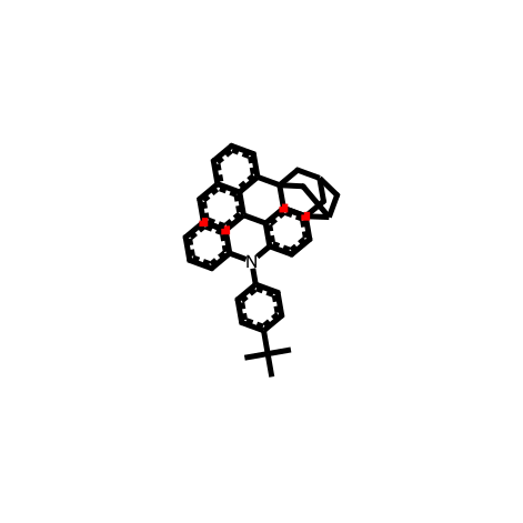 CC(C)(C)c1ccc(N(c2ccccc2)c2ccccc2-c2cccc3cccc(C45CC6CC(C4)C(C6)C5)c23)cc1